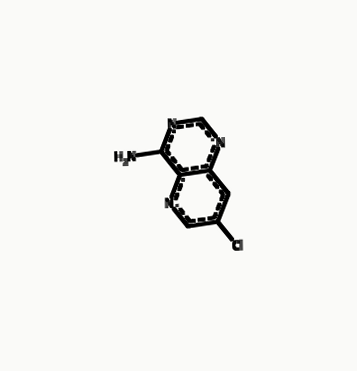 Nc1ncnc2cc(Cl)cnc12